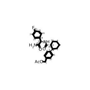 CC(=O)OCc1ccc([C@@H]2CCCC[C@H]2C(=O)N[C@H](C(N)=O)c2ccc(F)cc2)cc1